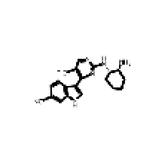 N#Cc1ccc2c(-c3nc(N[C@H]4CCCC[C@@H]4N)ncc3C(F)(F)F)c[nH]c2c1